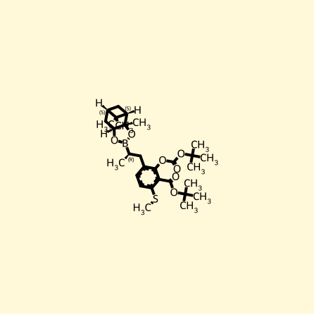 CSc1ccc(C[C@@H](C)B2O[C@@H]3C[C@@H]4C[C@@H](C4(C)C)[C@]3(C)O2)c(OC(=O)OC(C)(C)C)c1C(=O)OC(C)(C)C